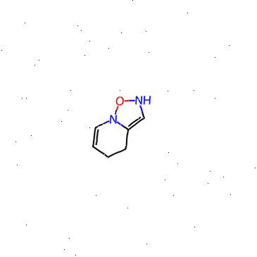 C1=CN2ONC=C2CC1